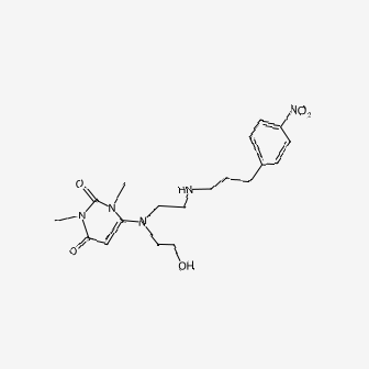 Cn1c(N(CCO)CCNCCCc2ccc([N+](=O)[O-])cc2)cc(=O)n(C)c1=O